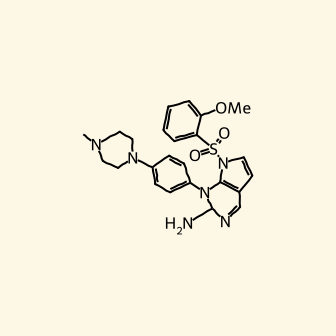 COc1ccccc1S(=O)(=O)n1ccc2c1N(c1ccc(N3CCN(C)CC3)cc1)C(N)N=C2